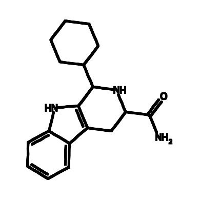 NC(=O)C1Cc2c([nH]c3ccccc23)C(C2CCCCC2)N1